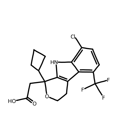 O=C(O)CC1(C2CCC2)OCCc2c1[nH]c1c(Cl)ccc(C(F)(F)F)c21